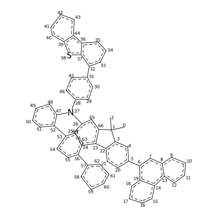 CC1(C)c2cc(-c3cc4ccccc4c4ccccc34)ccc2-c2ccc(N(c3ccc(-c4cccc5c4sc4ccccc45)cc3)c3ccccc3-c3ccc(-c4ccccc4)cc3)cc21